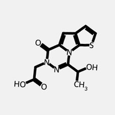 CC(O)c1nn(CC(=O)O)c(=O)c2cc3ccsc3n12